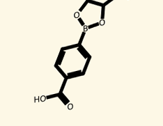 CC1COB(c2ccc(C(=O)O)cc2)O1